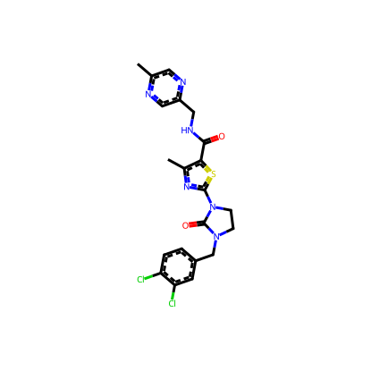 Cc1cnc(CNC(=O)c2sc(N3CCN(Cc4ccc(Cl)c(Cl)c4)C3=O)nc2C)cn1